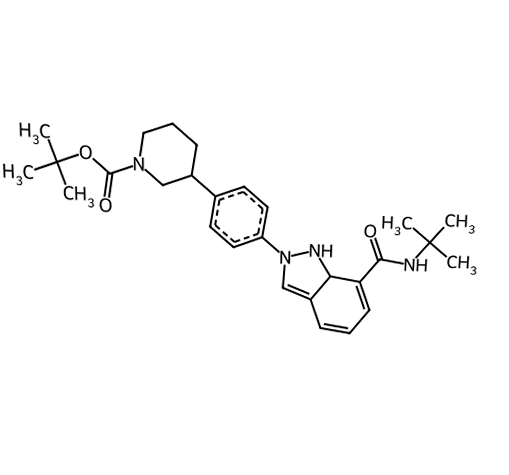 CC(C)(C)NC(=O)C1=CC=CC2=CN(c3ccc(C4CCCN(C(=O)OC(C)(C)C)C4)cc3)NC21